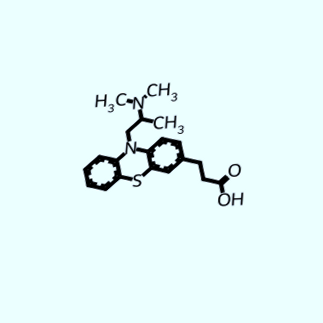 CC(CN1c2ccccc2Sc2cc(CCC(=O)O)ccc21)N(C)C